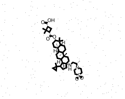 C[C@@H](CN[C@]12CCC(C3(C)CC3)[C@@H]1[C@H]1CC[C@@H]3[C@@]4(C)CC[C@H](OC(=O)[C@H]5C[C@@H](C(=O)O)C5(C)C)C(C)(C)[C@@H]4CC[C@@]3(C)[C@]1(C)CC2)N1CCS(=O)(=O)CC1